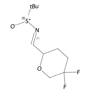 CC(C)(C)[S@@+]([O-])/N=C/C1CCC(F)(F)CO1